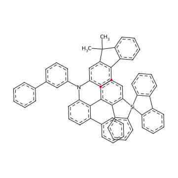 CC1(C)c2ccccc2-c2ccc(N(c3cccc(-c4ccccc4)c3)c3cccc(-c4ccccc4)c3-c3cccc4c3-c3ccccc3[Si]43c4ccccc4-c4ccccc43)cc21